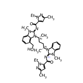 CCn1nc(C)cc1C(=O)N=c1n(C)c2cccc(CO)c2n1[C@H](C)CC[C@@H](C)n1/c(=N/C(=O)c2cc(C)nn2CC)n(C)c2ccccc21